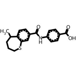 CC1CCCSc2cc(C(=O)Nc3ccc(C(=O)O)cc3)ccc21